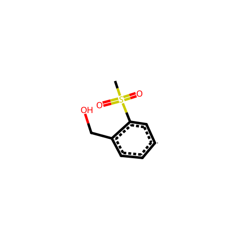 CS(=O)(=O)c1c[c]ccc1CO